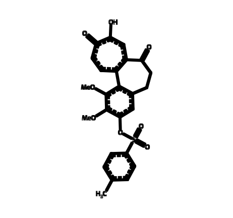 COc1c(OS(=O)(=O)c2ccc(C)cc2)cc2c(c1OC)-c1ccc(=O)c(O)cc1C(=O)CC2